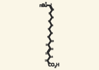 CCCC/C=C\CCCCCCCCC/C=C/CCC(=O)O